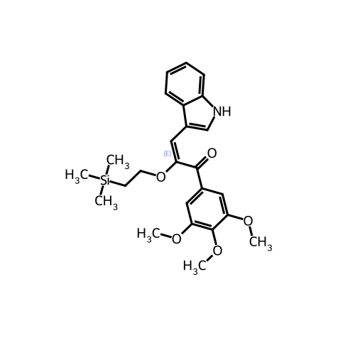 COc1cc(C(=O)/C(=C\c2c[nH]c3ccccc23)OCC[Si](C)(C)C)cc(OC)c1OC